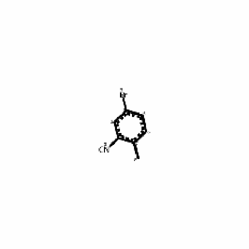 [C-]#[N+]c1cc(Br)ccc1C